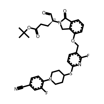 CC(C)(C)OC(=O)CC[C@@H](C=O)N1Cc2c(OCc3ccc(SC4CCN(c5ccc(C#N)cc5F)CC4)nc3F)cccc2C1=O